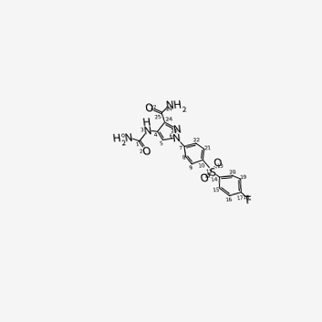 NC(=O)Nc1cn(-c2ccc(S(=O)(=O)c3ccc(F)cc3)cc2)nc1C(N)=O